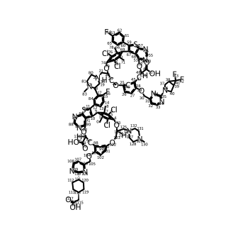 Cc1c(Cl)c2c(Cl)c(C)c1-c1c(-c3ccc(F)c(C4CN(C[C@@H]5COc6ccc(OCc7ccnc(N8CC9C(C8)C9(F)F)n7)c(c6)C[C@H](C(=O)O)Oc6ncnc7sc(-c8ccc(F)cc8)c(c67)-c6c(C)c(Cl)c(c(Cl)c6C)O5)CCN4C)c3)sc3ncnc(c13)O[C@@H](C(=O)O)Cc1cc(ccc1OCc1ccnc([C@H]3CC[C@H](CC(=O)O)CC3)n1)OC[C@@H](CN1CCN(C)CC1)O2